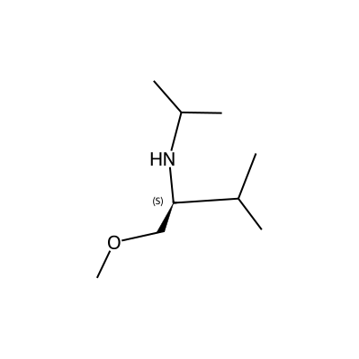 COC[C@@H](NC(C)C)C(C)C